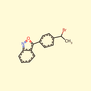 CC(Br)c1ccc(-c2onc3ccccc23)cc1